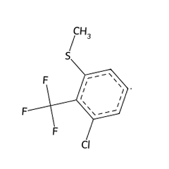 CSc1c[c]cc(Cl)c1C(F)(F)F